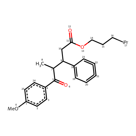 COc1ccc(C(=O)C(C)C(CC(=O)OCCCC(C)C)C2=CC=C=C=C2)cc1